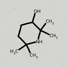 CC1(C)C[CH]C(O)C(C)(C)N1